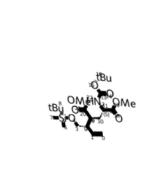 C=C[C@H](CO[Si](C)(C)C(C)(C)C)[C@H](C[C@H](NC(=O)OC(C)(C)C)C(=O)OC)C(=O)OC